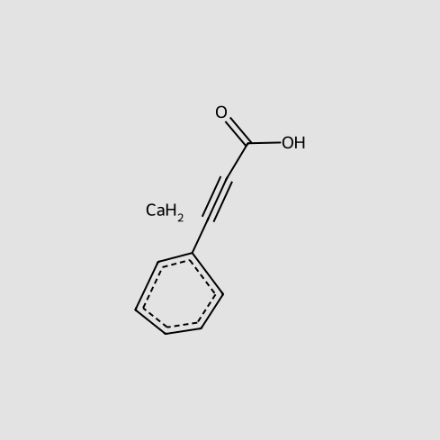 O=C(O)C#Cc1ccccc1.[CaH2]